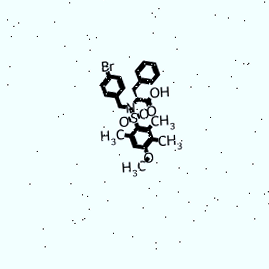 COc1cc(C)c(S(=O)(=O)N(Cc2ccc(Br)cc2)[C@@H](Cc2ccccc2)C(=O)O)c(C)c1C